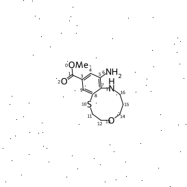 COC(=O)c1cc(N)c2c(c1)SCCOCCCN2